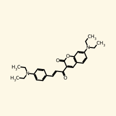 CCN(CC)c1ccc(C=CC(=O)c2cc3ccc(N(CC)CC)cc3oc2=O)cc1